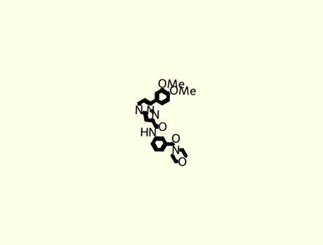 COc1ccc(-c2ccnc3cc(C(=O)Nc4cccc(C(=O)N5CCOCC5)c4)nn23)cc1OC